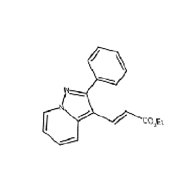 CCOC(=O)C=Cc1c(-c2ccccc2)nn2ccccc12